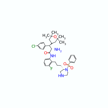 CC1(C)CC([C@H](c2ccc(Cl)cc2)[C@H](N)C(=O)Nc2cccc(F)c2CCC[C@H]2CNCCN2S(=O)(=O)c2ccccc2)CC(C)(C)O1